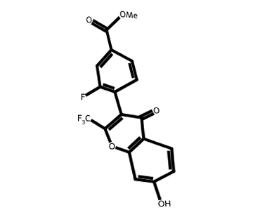 COC(=O)c1ccc(-c2c(C(F)(F)F)oc3cc(O)ccc3c2=O)c(F)c1